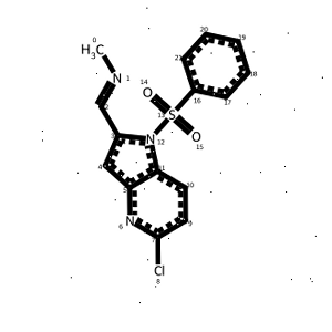 C/N=C/c1cc2nc(Cl)ccc2n1S(=O)(=O)c1ccccc1